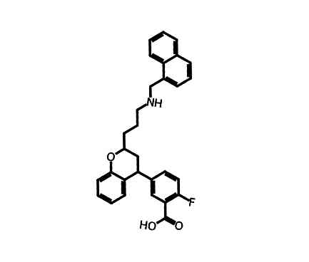 O=C(O)c1cc(C2CC(CCCNCc3cccc4ccccc34)Oc3ccccc32)ccc1F